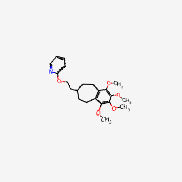 COc1c2c(c(OC)c(OC)c1OC)CCC(CCOc1ccccn1)CC2